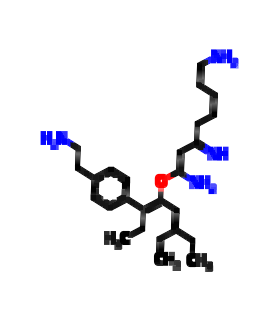 C=C/C(=C\C(O/C(N)=C/C(=N)C/C=C\C=C/N)=C(/CC)c1ccc(CCN)cc1)CC